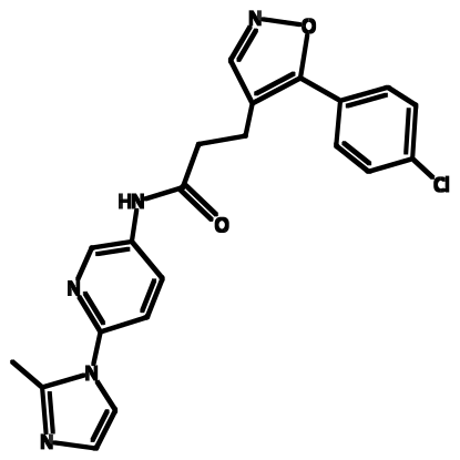 Cc1nccn1-c1ccc(NC(=O)CCc2cnoc2-c2ccc(Cl)cc2)cn1